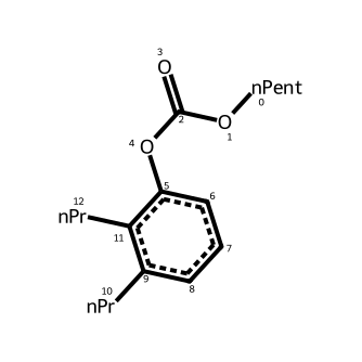 CCCCCOC(=O)Oc1cccc(CCC)c1CCC